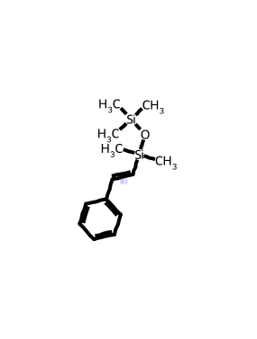 C[Si](C)(C)O[Si](C)(C)/C=C/c1ccccc1